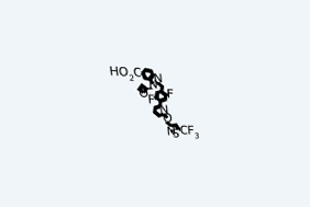 O=C(O)c1ccc2nc(Cc3cc(F)c(-c4cccc(OCc5cc(C(F)(F)F)sn5)n4)cc3F)n(C[C@@H]3CCO3)c2c1